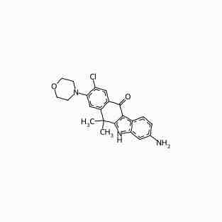 CC1(C)c2cc(N3CCOCC3)c(Cl)cc2C(=O)c2c1[nH]c1cc(N)ccc21